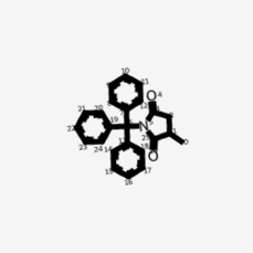 CC1CC(=O)N(C(c2ccccc2)(c2ccccc2)c2ccccc2)C1=O